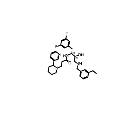 CCc1cccc(CNC[C@H](O)[C@@H](Cc2cc(F)cc(F)c2)NC(=O)CCN2CCCCC2c2cccnc2)c1